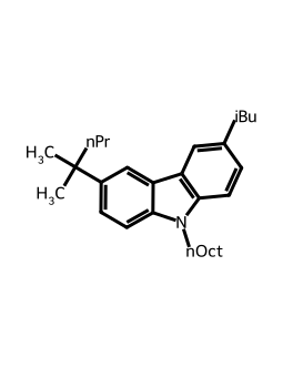 CCCCCCCCn1c2ccc(C(C)CC)cc2c2cc(C(C)(C)CCC)ccc21